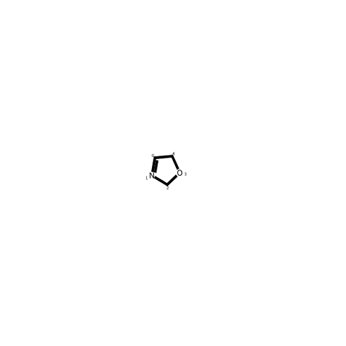 C1=NCOC1